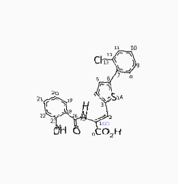 O=C(O)/C(=C/c1ccc(-c2ccccc2Cl)s1)NC(=O)c1ccccc1O